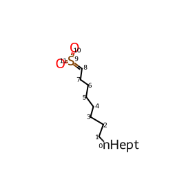 CCCCCCCCCCCCCCC=S(=O)=O